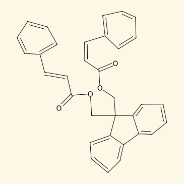 O=C(C=Cc1ccccc1)OCC1(COC(=O)C=Cc2ccccc2)c2ccccc2-c2ccccc21